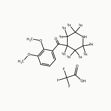 O=C(O)C(F)(F)F.[2H]C1([2H])NC([2H])([2H])C([2H])([2H])C([2H])(C(=O)c2cccc(OC)c2OC)C1([2H])[2H]